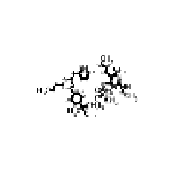 CCCCS/C(=N/c1cccnc1)SCc1ccc(C(C)(C)C)cc1.CCCCc1c(C)nc(NCC)nc1OS(=O)(=O)N(C)C